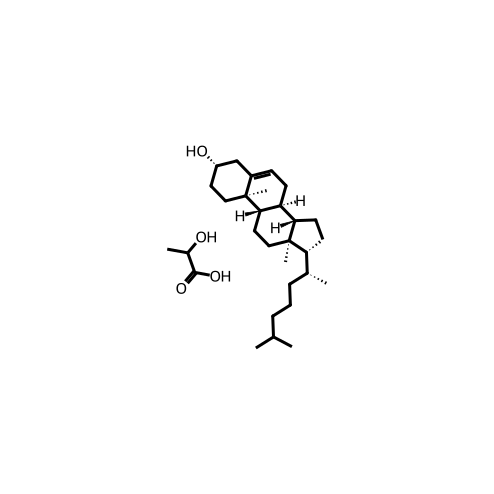 CC(C)CCC[C@@H](C)[C@H]1CC[C@H]2[C@@H]3CC=C4C[C@@H](O)CC[C@]4(C)[C@H]3CC[C@]12C.CC(O)C(=O)O